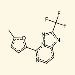 Cc1ccc(-c2nccc3nc(C(F)(F)F)nn23)o1